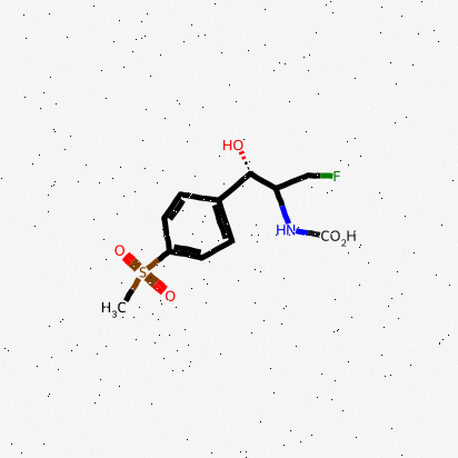 CS(=O)(=O)c1ccc([C@H](O)C(CF)NC(=O)O)cc1